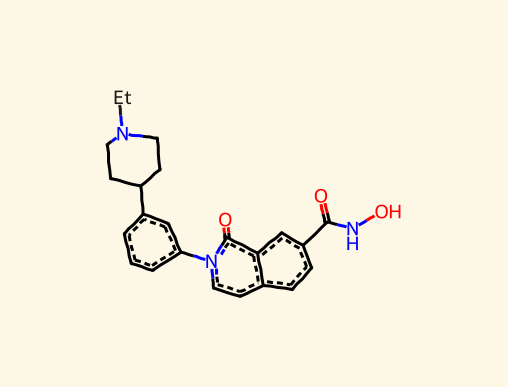 CCN1CCC(c2cccc(-n3ccc4ccc(C(=O)NO)cc4c3=O)c2)CC1